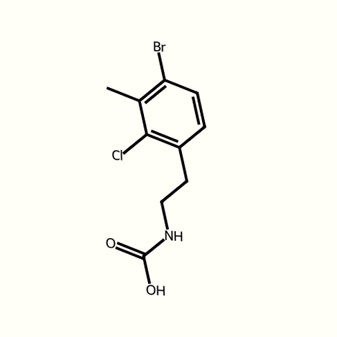 Cc1c(Br)ccc(CCNC(=O)O)c1Cl